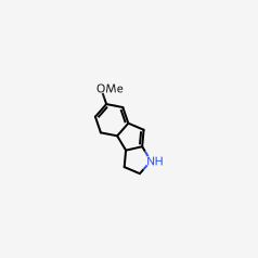 COC1=CCC2C(=C1)C=C1NCCC12